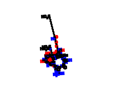 CC(=O)N[C@H]1CCNC(=O)C[C@@H](C(=O)N2CCC[C@H]2C(=O)N[C@@H](CO)C(=O)N[C@@H](CO)C(=O)N[C@@H](CO)C(=O)N[C@@H](CCCCN(CC(=O)O)CC(=O)O)C(=O)N[C@@H](CO)C(=O)N[C@@H](CO)C(=O)NCCOCCOCCNC(=O)CCCCCCCCCCCCCCCCC(=O)O)NC(=O)[C@H](Cc2c[nH]c3ccccc23)NC(=O)[C@H](CCCNC(=N)N)NC(=O)[C@@H](Cc2ccccc2)NC(=O)[C@H](Cc2c[nH]cn2)NC1=O